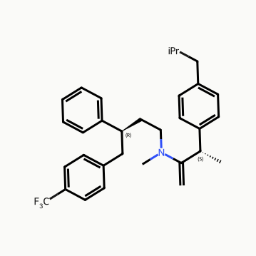 C=C([C@@H](C)c1ccc(CC(C)C)cc1)N(C)CC[C@@H](Cc1ccc(C(F)(F)F)cc1)c1ccccc1